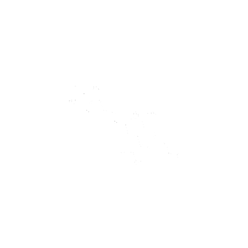 CC(C)c1cc(OC(F)F)cc(C(C)C)c1CC(=O)N=Cc1cnc(C(C)(C)O)s1